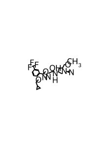 COCC1C[C@@H](NC(O)c2nnc(-c3cc(C(F)(F)F)ccc3OCC3CC3)o2)CN1C#N